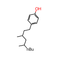 CCCCC(C)CC(C)CCc1ccc(O)cc1